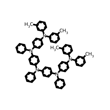 Cc1cccc(N(c2ccc(N(c3ccccc3)c3ccc(N(c4ccccc4)c4ccc(N(c5ccccc5)c5ccc(N(c6cccc(C)c6)c6cccc(C)c6)cc5)cc4)cc3)cc2)c2cccc(C)c2)c1